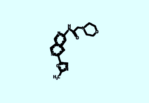 Cc1ncc(-c2cc3cc(NC(=O)CN4CCOCC4)ncc3cn2)o1